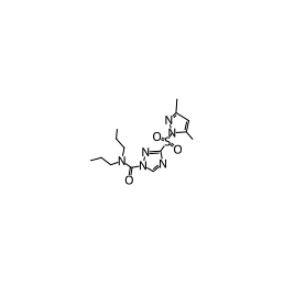 CCCN(CCC)C(=O)n1cnc(S(=O)(=O)n2nc(C)cc2C)n1